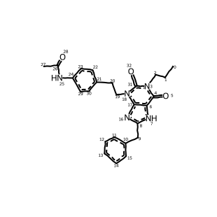 CCCn1c(=O)c2[nH]c(Cc3ccccc3)nc2n(CCc2ccc(NC(C)=O)cc2)c1=O